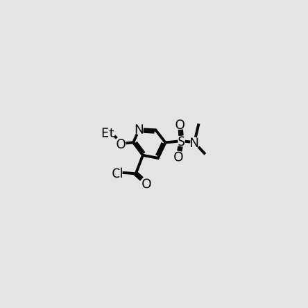 CCOc1ncc(S(=O)(=O)N(C)C)cc1C(=O)Cl